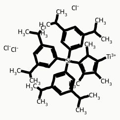 CC1=[C]([Ti+3])C(C)C([Si](c2cc(C(C)C)cc(C(C)C)c2)(c2cc(C(C)C)cc(C(C)C)c2)c2cc(C(C)C)cc(C(C)C)c2)=C1C.[Cl-].[Cl-].[Cl-]